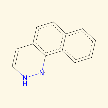 C1=Cc2ccc3ccccc3c2[N]N1